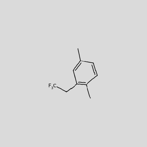 Cc1ccc(C)c(CC(F)(F)F)c1